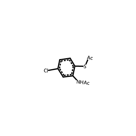 CC(=O)Nc1cc(Cl)ccc1SC(C)=O